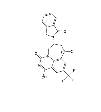 O=C1c2ccccc2CN1[C@H]1Cn2c(=O)nc(O)c3cc(C(F)(F)F)cc(c32)[SH](Cl)C1